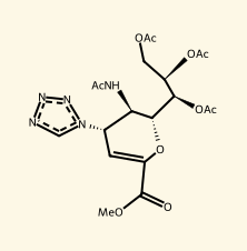 COC(=O)C1=C[C@H](n2cnnn2)[C@@H](NC(C)=O)[C@H]([C@H](OC(C)=O)[C@@H](COC(C)=O)OC(C)=O)O1